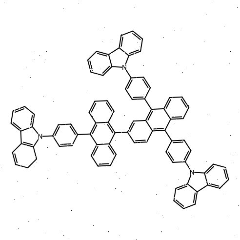 C1=Cc2c(n(-c3ccc(-c4c5ccccc5c(-c5ccc6c(-c7ccc(-n8c9ccccc9c9ccccc98)cc7)c7ccccc7c(-c7ccc(-n8c9ccccc9c9ccccc98)cc7)c6c5)c5ccccc45)cc3)c3ccccc23)CC1